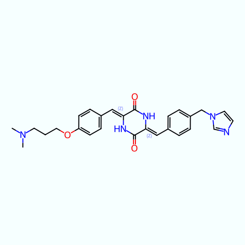 CN(C)CCCOc1ccc(/C=c2\[nH]c(=O)/c(=C/c3ccc(Cn4ccnc4)cc3)[nH]c2=O)cc1